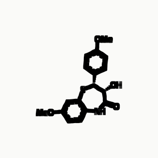 COc1ccc([C@H]2Sc3cc(OC)ccc3NC(=O)[C@H]2O)cc1